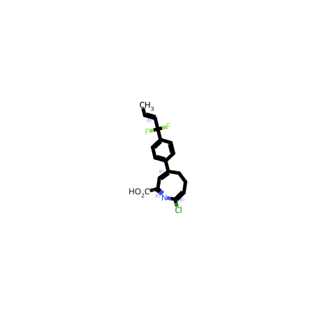 C/C=C/C(F)(F)c1ccc(/C2=C/C(C(=O)O)=N\C(Cl)=C/CC2)cc1